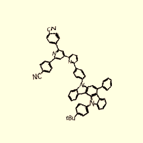 CC(C)(C)c1ccc(-n2c3ccccc3c3c(-c4ccccc4)cc4c(c5ccccc5n4-c4ccc(-c5cccc(-c6cc(-c7ccc(C#N)cc7)nc(-c7ccc(C#N)cc7)c6)n5)cc4)c32)cc1